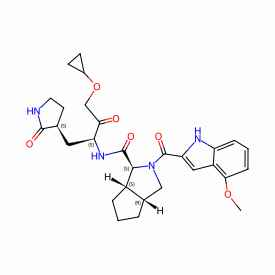 COc1cccc2[nH]c(C(=O)N3C[C@@H]4CCC[C@@H]4[C@H]3C(=O)N[C@@H](C[C@@H]3CCNC3=O)C(=O)COC3CC3)cc12